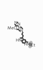 CCS(=O)(=O)NCc1ccc2[nH]cc(CCCN3CCN(c4ncncc4OC)C(C)C3)c2c1